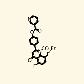 CCOC(=O)n1c(-c2ccc(OC(=O)c3cccnc3)cc2)cc(=O)c2c(F)ccc(F)c21